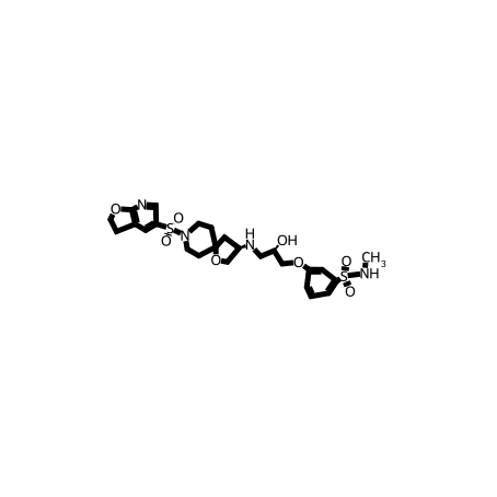 CNS(=O)(=O)c1cccc(OC[C@@H](O)CN[C@H]2COC3(CCN(S(=O)(=O)c4cnc5c(c4)CCO5)CC3)C2)c1